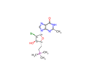 C=P(C)(C)CC[C@H]1O[C@@H](n2cnc3c(=O)[nH]c(C)nc32)[C@H](Br)[C@@H]1O